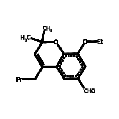 CCOc1cc(C=O)cc2c1OC(C)(C)C=C2CC(C)C